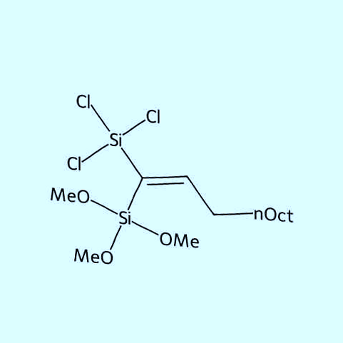 CCCCCCCCCC=C([Si](Cl)(Cl)Cl)[Si](OC)(OC)OC